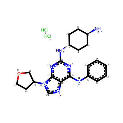 Cl.Cl.N[C@H]1CC[C@H](Nc2nc(Nc3ccccc3)c3ncn(C4CCOC4)c3n2)CC1